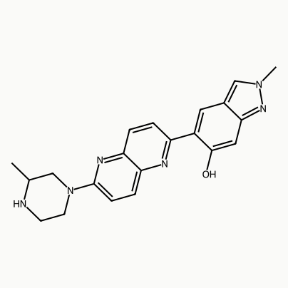 CC1CN(c2ccc3nc(-c4cc5cn(C)nc5cc4O)ccc3n2)CCN1